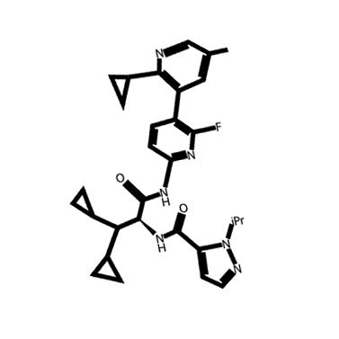 Cc1cnc(C2CC2)c(-c2ccc(NC(=O)[C@@H](NC(=O)c3ccnn3C(C)C)C(C3CC3)C3CC3)nc2F)c1